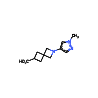 Cn1cc(N2CC3(CC(C(=O)O)C3)C2)cn1